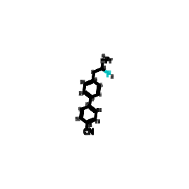 CCCC(F)Cc1ccc(-c2ccc(C#N)cc2)cc1